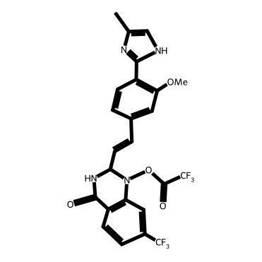 COc1cc(C=CC2NC(=O)c3ccc(C(F)(F)F)cc3N2OC(=O)C(F)(F)F)ccc1-c1nc(C)c[nH]1